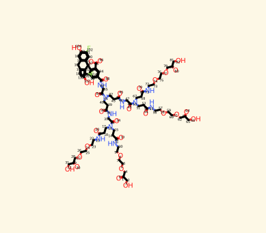 O=C(CO)COCCOCCNC(=O)CCN(CCC(=O)NCCOCCOCC(=O)CO)C(=O)CNC(=O)CCN(CCC(=O)NCC(=O)N(CCC(=O)NCCOCCOCC(=O)CO)CCC(=O)NCCOCCOCC(=O)CO)C(=O)CNC(=O)c1ccc2c(c1)C(=O)OC21c2cc(F)c(O)cc2Cc2ccc(O)c(F)c21